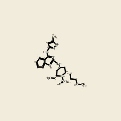 CC[C@@H]1C[C@@H](Nc2nc(Nc3cc(C)[nH]n3)c3ccccc3n2)C[C@H](CCCOC)N1[SH](=O)=O